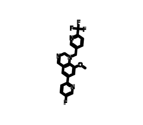 COc1cc(-c2ccc(F)cn2)cc2c1N(Cc1ccc(C(F)(F)F)nc1)CN=C2